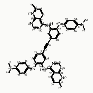 Cc1ccc2c(Nc3cc(C#Cc4ccc(Sc5ccc(N(C)C)cc5)c(Nc5ncnc6nc(C)ccc56)c4)ccc3Sc3ccc(N(C)C)cc3)ncnc2n1